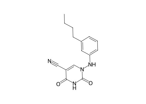 CCCCc1cccc(Nn2cc(C#N)c(=O)[nH]c2=O)c1